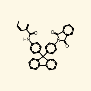 C=C(/C=C\C)C(=O)Nc1ccc(C2(c3ccc(N4C(=O)c5ccccc5C4=O)cc3)c3ccccc3-c3ccccc32)cc1